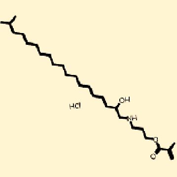 C=C(C)C(=O)OCCCNCC(O)CCCCCCCCCCCCCCCC(C)C.Cl